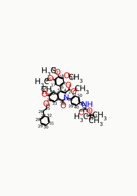 COC(=O)c1c(-c2cc(OC)c(OC)c(OC)c2)c2cc(OC)c(OCCc3ccccc3)cc2c(=O)n1-c1ccc(NC(=O)OC(C)(C)C)cc1